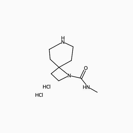 CNC(=O)N1CCC12CCNCC2.Cl.Cl